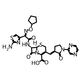 Nc1nc(/C(=N/OC2CCCC2)C(=O)N[C@@H]2C(=O)N3C(C(=O)O)=C(C=C4CCN(c5cnccn5)C4=O)CS[C@H]23)cs1